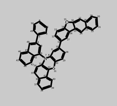 c1ccc(-c2cc(N3c4cc(-c5ccc6oc7cc8ccccc8cc7c6c5)ccc4Sc4c3ccc3ccccc43)c3ccccc3c2)cc1